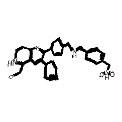 O=CC1NC=Cc2nc(-c3ccc(CNCc4ccc(C[SH](=O)=O)cc4)cc3)c(-c3ccccc3)cc21